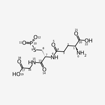 N[C@@H](CCC(=O)N[C@@H](CSP(=O)=O)C(=O)NCC(=O)O)C(=O)O